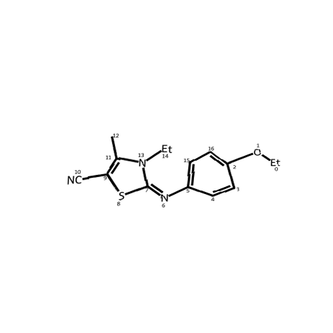 CCOc1ccc(/N=c2/sc(C#N)c(C)n2CC)cc1